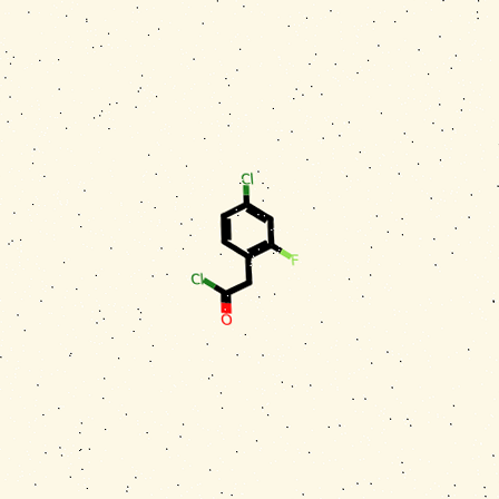 O=C(Cl)Cc1ccc(Cl)cc1F